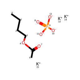 CCCCOC(C)=O.O=P([O-])([O-])[O-].[K+].[K+].[K+]